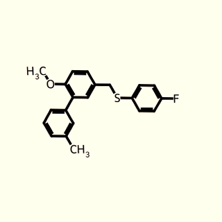 COc1ccc(CSc2ccc(F)cc2)cc1-c1cccc(C)c1